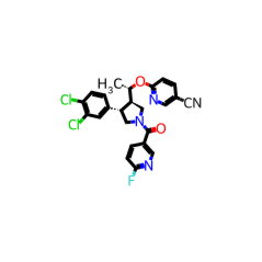 C[C@H](Oc1ccc(C#N)cn1)[C@H]1CN(C(=O)c2ccc(F)nc2)C[C@@H]1c1ccc(Cl)c(Cl)c1